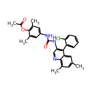 CC(=O)Oc1c(C)cc(NC(=O)Nc2cnc3c(C)cc(C)cc3c2-c2ccccc2Cl)cc1C